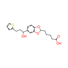 O=C(O)CCCCC1Oc2ccc(C(O)CCc3cccs3)cc2O1